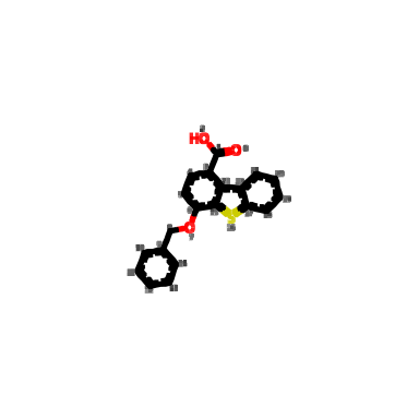 O=C(O)c1ccc(OCc2ccccc2)c2sc3ccccc3c12